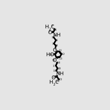 C=CC(=O)NCCCCOc1cccc(OCCCCNC(=O)C=C)c1O